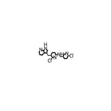 Clc1ccc(CNc2ccc(Cc3c[nH]c4ncccc34)c(Cl)n2)cn1